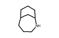 C1CN[C]2CCCC(C1)C2